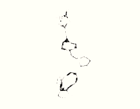 O=c1[nH]nc(-c2ccc(CN3CCC[C@H]3c3cnc4c(c3)OCC4)cc2)s1